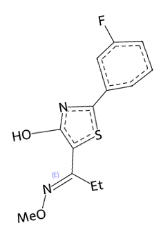 CC/C(=N\OC)c1sc(-c2cccc(F)c2)nc1O